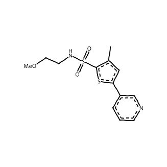 COCCNS(=O)(=O)c1sc(-c2cccnc2)cc1C